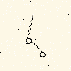 CCCCCCCCCCCCCCCCCCOc1cc(OCCCOc2cccc([N+](=O)[O-])c2)cc(C(=O)O)c1